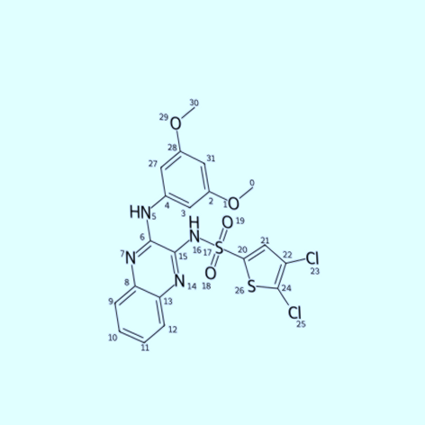 COc1cc(Nc2nc3ccccc3nc2NS(=O)(=O)c2cc(Cl)c(Cl)s2)cc(OC)c1